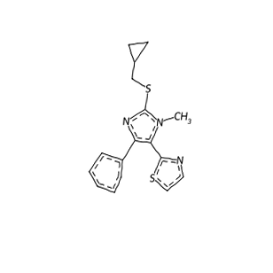 Cn1c(SCC2CC2)nc(-c2ccccc2)c1-c1nccs1